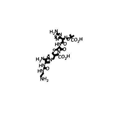 Cn1c(N)c(NC(=O)NCCN)c[n+]1CC1=C(C(=O)O)N2C(=O)[C@H](NC(=O)/C(=N\OC(C)(C)C(=O)O)c3nsc(N)n3)C2SC1